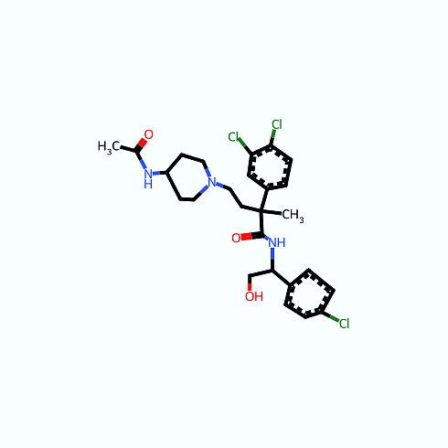 CC(=O)NC1CCN(CCC(C)(C(=O)NC(CO)c2ccc(Cl)cc2)c2ccc(Cl)c(Cl)c2)CC1